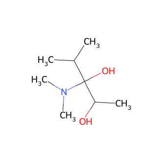 CC(C)C(O)(C(C)O)N(C)C